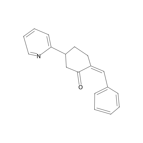 O=C1CC(c2ccccn2)CCC1=Cc1ccccc1